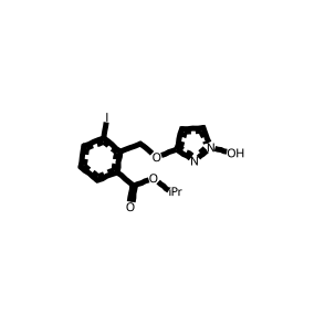 CC(C)OC(=O)c1cccc(I)c1COc1ccn(O)n1